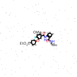 CCOC(=O)C1CCC(Oc2cc(C(=O)NC3C4CCC(C4)C3C(=O)NCC(C)(C)C)c(OC)cc2F)CC1